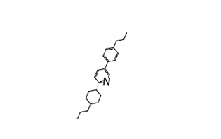 CCCc1ccc(-c2ccc([C@H]3CC[C@H](CCC)CC3)nc2)cc1